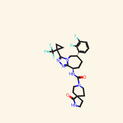 O=C(N[C@@H]1CC[C@@H](c2cccc(F)c2F)Cn2c1nnc2C1(C(F)(F)F)CC1)N1CCC2(CCNC2=O)CC1